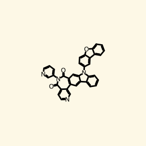 O=c1c2ccncc2c2cc3c4ccccc4n(-c4ccc5oc6ccccc6c5c4)c3cc2c(=O)n1-c1cccnc1